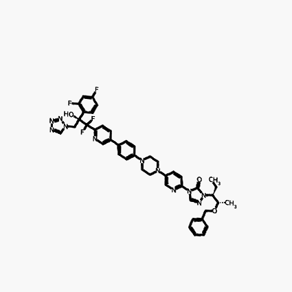 CC[C@@H]([C@H](C)OCc1ccccc1)n1ncn(-c2ccc(N3CCN(c4ccc(-c5ccc(C(F)(F)[C@](O)(Cn6cnnn6)c6ccc(F)cc6F)nc5)cc4)CC3)cn2)c1=O